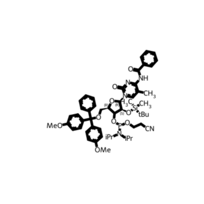 COc1ccc(C(OC[C@H]2O[C@@H](n3cc(C)c(NC(=O)c4ccccc4)nc3=O)[C@@H](O[Si](C)(C)C(C)(C)C)C2OP(OCCC#N)N(C(C)C)C(C)C)(c2ccccc2)c2ccc(OC)cc2)cc1